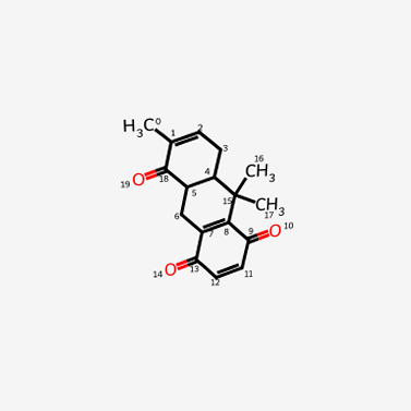 CC1=CCC2C(CC3=C(C(=O)C=CC3=O)C2(C)C)C1=O